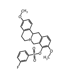 COc1ccc2c(c1)CCN1Cc3c(ccc(OC)c3OS(=O)(=O)c3cccc(F)c3)CC21